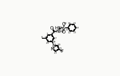 Cc1cc(C(=O)NNS(=O)(=O)c2ccccc2)cc(-n2cc(F)cn2)c1